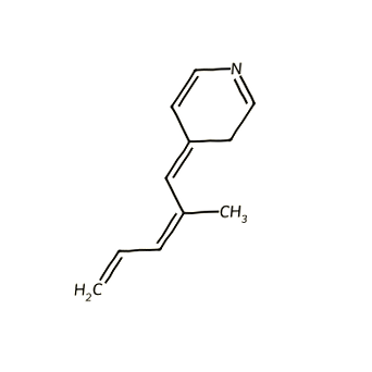 C=C/C=C(C)\C=C1\C=CN=CC1